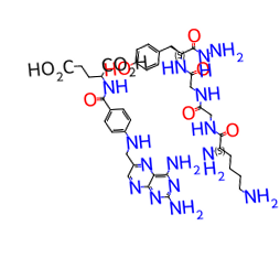 NCCCC[C@H](N)C(=O)NCC(=O)NCC(=O)N[C@@H](Cc1ccc(O)cc1)C(=O)NN.Nc1nc(N)c2nc(CNc3ccc(C(=O)NC(CCC(=O)O)C(=O)O)cc3)cnc2n1